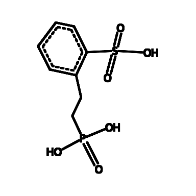 O=P(O)(O)CCc1ccccc1S(=O)(=O)O